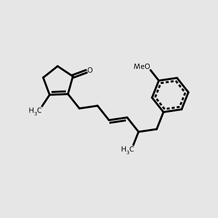 COc1cccc(CC(C)/C=C/CCC2=C(C)CCC2=O)c1